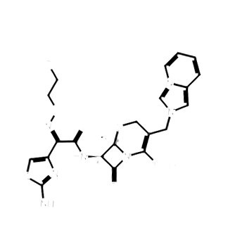 Nc1nc(/C(=N/OCCF)C(=O)N[C@@H]2C(=O)N3C(C(=O)[O-])=C(Cn4cc5cccc[n+]5c4)CS[C@H]23)cs1